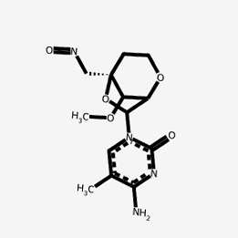 COC1C2OCC[C@]1(CN=O)OC2n1cc(C)c(N)nc1=O